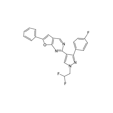 Fc1ccc(-c2nn(CC(F)F)cc2-c2ncc3cc(-c4ccccc4)oc3n2)cc1